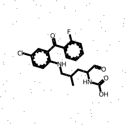 CC(CNc1ccc(Cl)cc1C(=O)c1ccccc1F)CC(C=O)NC(=O)O